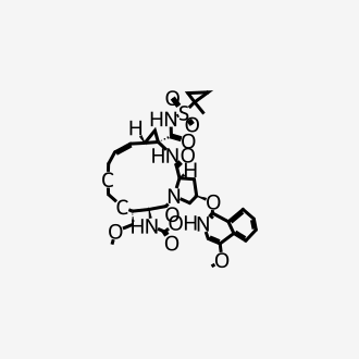 COC[C@@H]1CCCC/C=C\[C@@H]2C[C@@]2(C(=O)NS(=O)(=O)C2(C)CC2)NC(=O)[C@@H]2C[C@@H](Oc3ncc(OC)c4ccccc34)CN2C(=O)[C@H]1NC(=O)O